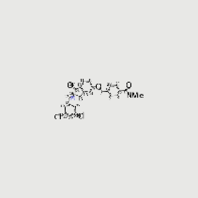 CNC(=O)c1ccc(COc2ccc3c(c2)C/C(=C\c2cc(Cl)cc(Cl)c2)C3=O)cc1